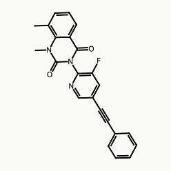 Cc1cccc2c(=O)n(-c3ncc(C#Cc4ccccc4)cc3F)c(=O)n(C)c12